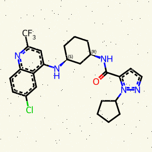 O=C(N[C@@H]1CCC[C@H](Nc2cc(C(F)(F)F)nc3ccc(Cl)cc23)C1)c1ccnn1C1CCCC1